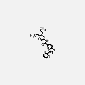 CCCN(CCC)C[C@H](C=O)NC(=O)c1ccc2nnc(-c3ncccn3)n2n1